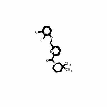 CC1(C)CCCN(C(=O)c2cccc(COc3cccc(Cl)c3Cl)n2)C1